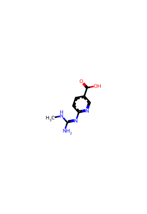 CNC(N)=Nc1ccc(C(=O)O)cn1